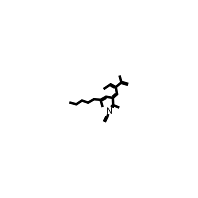 C=C/N=C(C)/C(/C=C(\C)CCCCC)=C/C(=C\C)C(=C)C